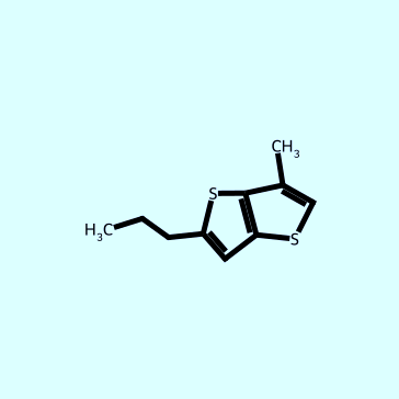 CCCc1cc2scc(C)c2s1